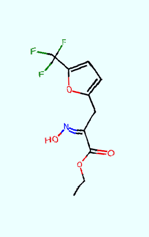 CCOC(=O)C(Cc1ccc(C(F)(F)F)o1)=NO